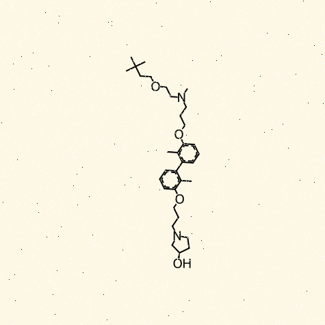 Cc1c(OCCCN(C)CCOCCC(C)(C)C)cccc1-c1cccc(OCCCN2CC[C@@H](O)C2)c1C